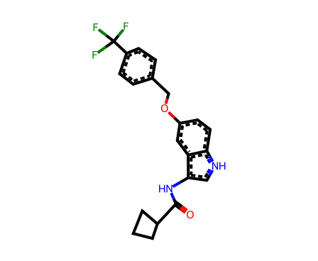 O=C(Nc1c[nH]c2ccc(OCc3ccc(C(F)(F)F)cc3)cc12)C1CCC1